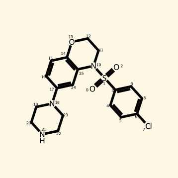 O=S(=O)(c1ccc(Cl)cc1)N1CCOc2ccc(N3CCNCC3)cc21